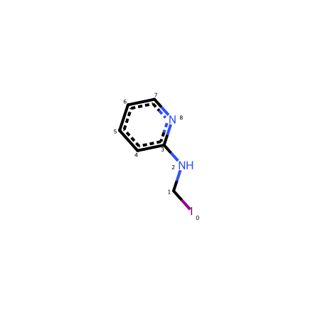 ICNc1ccccn1